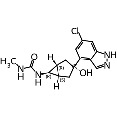 CNC(=O)N[C@H]1[C@@H]2C[C@@](O)(c3cc(Cl)cc4[nH]ncc34)C[C@@H]21